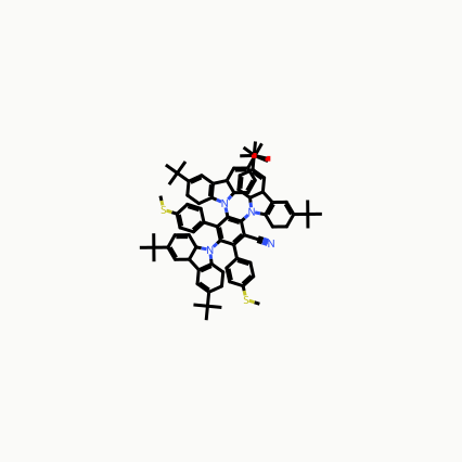 CSc1ccc(-c2c(C#N)c(N3C4=C(C=C(C(C)(C)C)CC4)C4C=C(C(C)(C)C)C=CC43)c(N3C4=C(C=C(C(C)(C)C)CC4)C4C=C(C(C)(C)C)C=CC43)c(-c3ccc(SC)cc3)c2N2C3=C(C=C(C(C)(C)C)CC3)C3C=C(C(C)(C)C)C=CC32)cc1